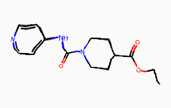 CCOC(=O)C1CCN(C(=O)Nc2ccncc2)CC1